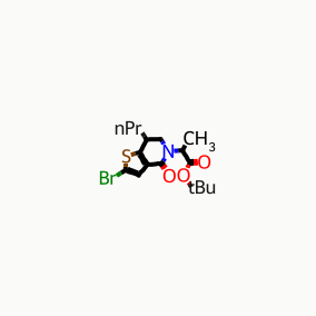 CCCC1CN(C(C)C(=O)OC(C)(C)C)C(=O)c2cc(Br)sc21